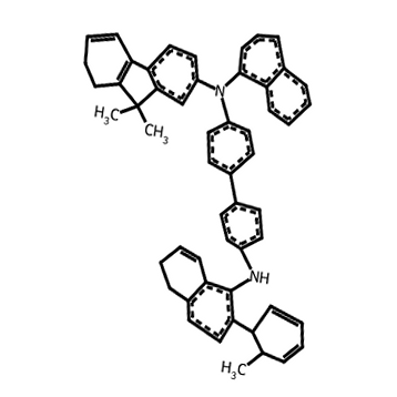 CC1C=CC=CC1c1ccc2c(c1Nc1ccc(-c3ccc(N(c4ccc5c(c4)C(C)(C)C4=C5C=CCC4)c4cccc5ccccc45)cc3)cc1)C=CCC2